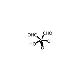 O=CS(=O)(O)(O)C=O